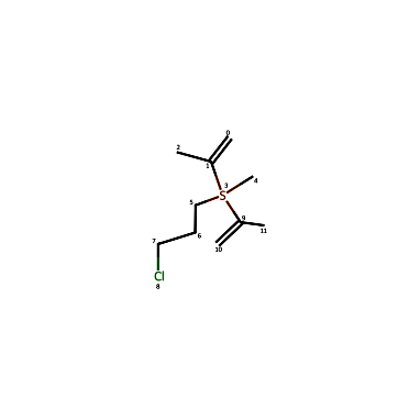 C=C(C)S(C)(CCCCl)C(=C)C